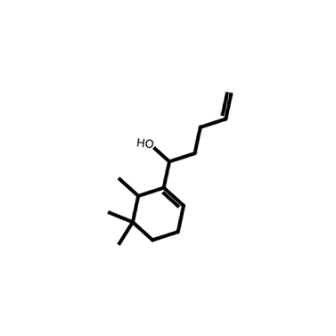 C=CCCC(O)C1=CCCC(C)(C)C1C